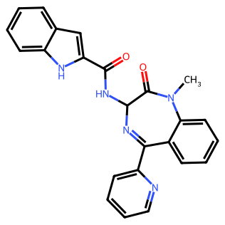 CN1C(=O)C(NC(=O)c2cc3ccccc3[nH]2)N=C(c2ccccn2)c2ccccc21